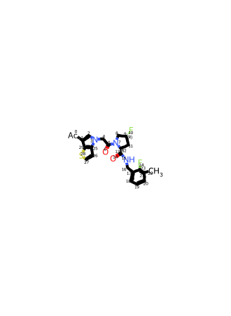 CC(=O)c1cn(CC(=O)N2C[C@H](F)C[C@H]2C(=O)NCc2cccc(C)c2F)c2ccsc12